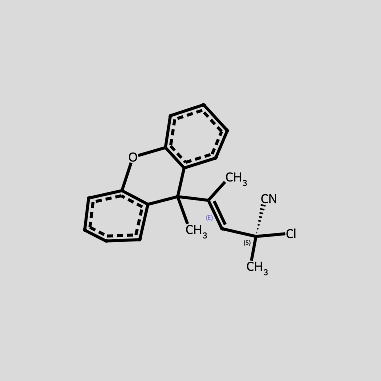 C/C(=C\[C@](C)(Cl)C#N)C1(C)c2ccccc2Oc2ccccc21